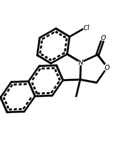 CC1(c2ccc3ccccc3c2)COC(=O)N1c1ccccc1Cl